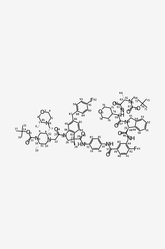 C[C@@H]1COCCN1C[C@H]1CN(C(=O)OC(C)(C)C)[C@@H](C)CN1CC(=O)N1C[C@@](C)(C(=O)Nc2ccc(NC(=O)c3ccc(F)c(NC(=O)[C@@H]4c5ccccc5CN4C(=O)[C@@H](NC(=O)[C@H](C)N(C)C(=O)OC(C)(C)C)C4CCOCC4)c3)cc2)c2ccc(Cc3ccc(F)cc3)cc21